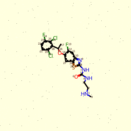 CNCCNC(=O)Nc1nc2cc(F)c(OC(C)c3c(Cl)ccc(F)c3Cl)cc2s1